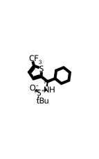 CC(C)(C)[S@+]([O-])N[C@@H](c1ccc(C(F)(F)F)s1)C1CCCCC1